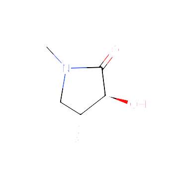 [CH2]N1C[C@@H](C)[C@H](O)C1=O